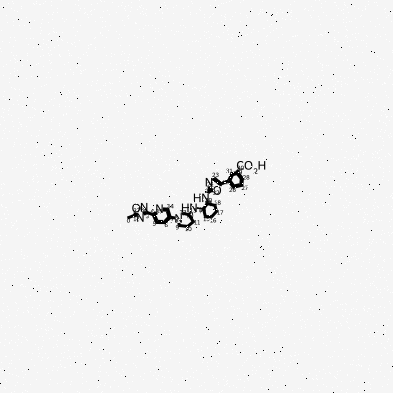 Cc1nc(-c2ccc(N3CCC[C@H](N[C@@H]4CCCC[C@H]4Nc4ncc(-c5cccc(C(=O)O)c5)o4)C3)cn2)no1